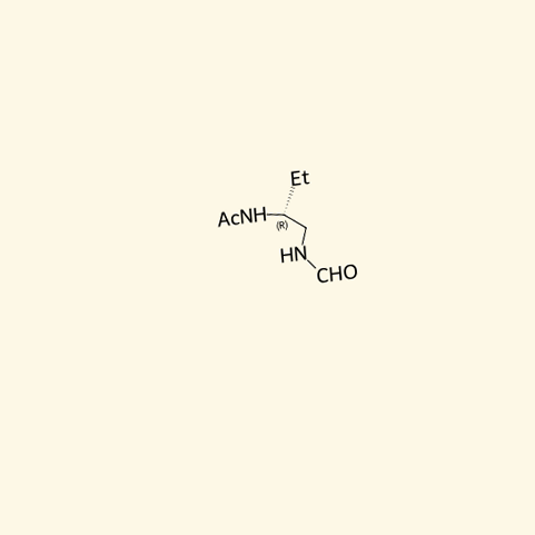 CC[C@H](CNC=O)NC(C)=O